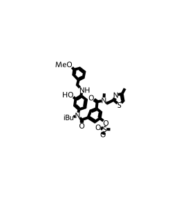 CCC(C)N(C(=O)c1cc(OS(C)(=O)=O)cc(C(=O)N(C)Cc2nc(C)cs2)c1)c1ccc(NCc2cccc(OC)c2)c(O)c1